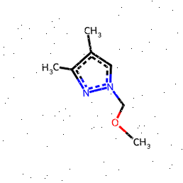 COCn1cc(C)c(C)n1